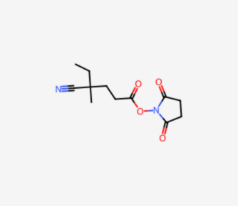 CCC(C)(C#N)CCC(=O)ON1C(=O)CCC1=O